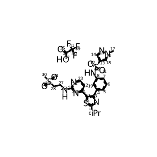 CC(C)c1nc(-c2cccc(NS(=O)(=O)c3cnn(C)c3)c2)c(-c2ccnc(NCCS(C)(=O)=O)n2)s1.O=C(O)C(F)(F)F